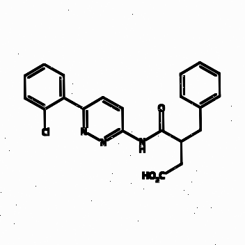 O=C(O)CC(Cc1ccccc1)C(=O)Nc1ccc(-c2ccccc2Cl)nn1